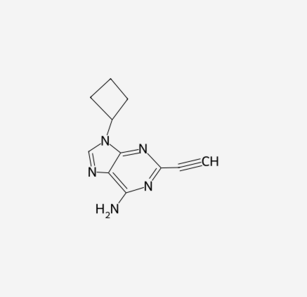 C#Cc1nc(N)c2ncn(C3CCC3)c2n1